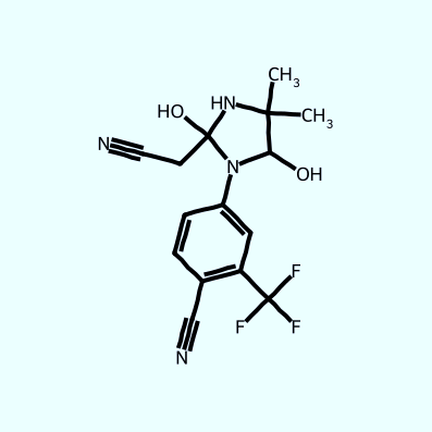 CC1(C)NC(O)(CC#N)N(c2ccc(C#N)c(C(F)(F)F)c2)C1O